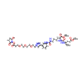 CC(C)(C)OC(=O)CC[C@H](NC(=O)N[C@@H](CCCCNC(=O)Nc1cccc(-c2cn(CCOCCOCCOCCC(=O)ON3C(=O)CCC3=O)nn2)c1)C(=O)OC(C)(C)C)C(C)(C)C